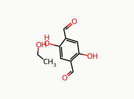 CCO.O=Cc1cc(O)c(C=O)cc1O